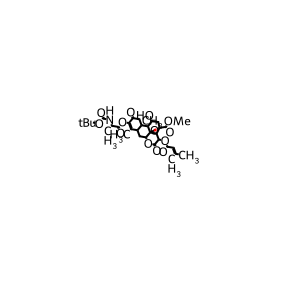 COC(=O)C12CC(O)C3C4(C)CC(=O)C(OC(=O)C(C)NC(=O)OC(C)(C)C)=C(C)C4CC4OC(=O)C(OC(=O)C=C(C)C)C1C43CO2